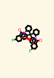 O=C1c2ccc(F)cc2C(=O)N1c1ccccc1C1(c2ccccc2N2C(=O)c3ccc(F)cc3C2=O)c2ccccc2-c2ccccc21